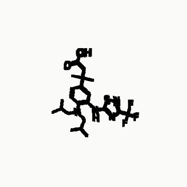 CC(C)CN(CC(C)C)c1ccc(C(C)(C)CC(=O)O)cc1Nc1nc(C(F)(F)F)ns1